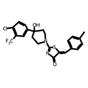 Cc1ccc(/C=C2\SC(N3CCC(O)(c4ccc(Cl)c(C(F)(F)F)c4)CC3)=NC2=O)cc1